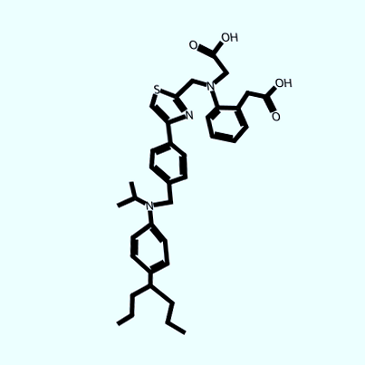 CCCC(CCC)c1ccc(N(Cc2ccc(-c3csc(CN(CC(=O)O)c4ccccc4CC(=O)O)n3)cc2)C(C)C)cc1